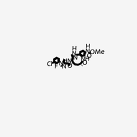 COC(=O)Nc1ccc2c(c1)NC(=O)[C@H](C)CCC[C@H](NC(=O)c1ncn(-c3cccc(Cl)c3F)c1C)c1c[nH]c-2n1